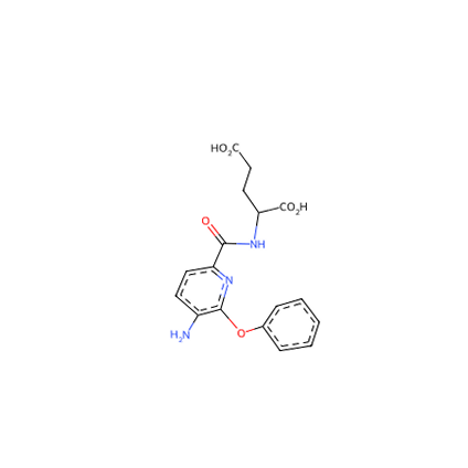 Nc1ccc(C(=O)NC(CCC(=O)O)C(=O)O)nc1Oc1ccccc1